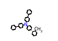 CC1C=CC=C[C@@H]1c1ccc(N(c2ccc(-c3ccccc3)cc2)c2ccc(-c3ccccc3)cc2)cc1